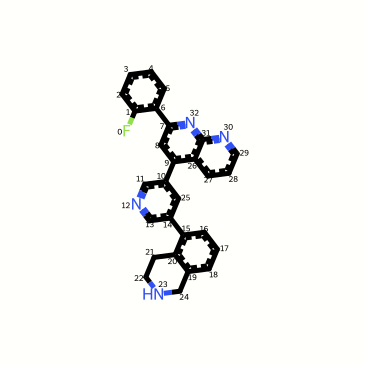 Fc1ccccc1-c1cc(-c2cncc(-c3cccc4c3CCNC4)c2)c2cccnc2n1